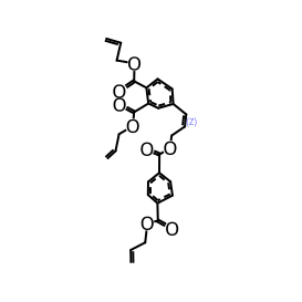 C=CCOC(=O)c1ccc(C(=O)OC/C=C\c2ccc(C(=O)OCC=C)c(C(=O)OCC=C)c2)cc1